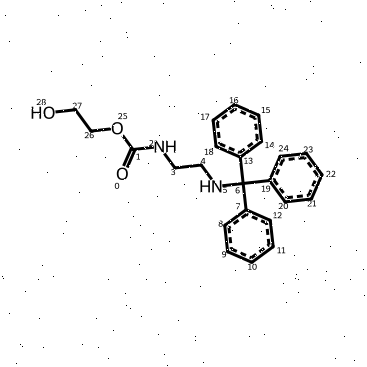 O=C(NCCNC(c1ccccc1)(c1ccccc1)c1ccccc1)OCCO